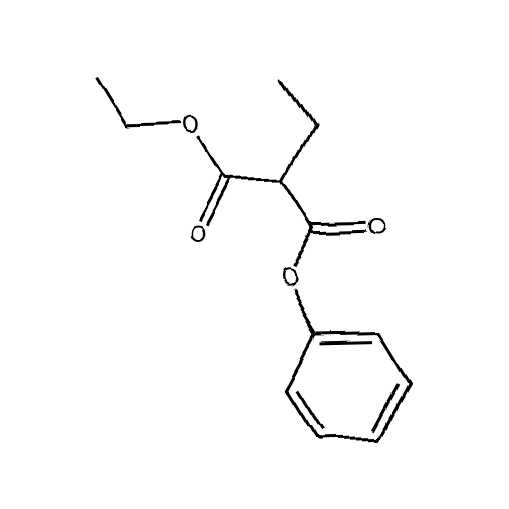 CCOC(=O)C(CC)C(=O)Oc1ccccc1